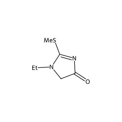 CCN1CC(=O)N=C1SC